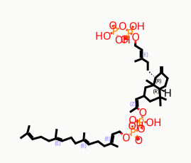 C=C1CC[C@@H]2C(C)(C)CC(/C=C(/C)OP(=O)(O)OP(=O)(O)OC/C=C(\C)CC/C=C(\C)CC/C=C(\C)CCC=C(C)C)CC2(C)[C@@H]1CC/C(C)=C/COP(=O)(O)OP(=O)(O)O